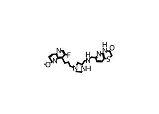 COc1ccc2ncc(F)c(CCCN3CCNC(CNCc4ccc5c(n4)NC(=O)CS5)C3)c2n1